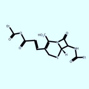 CCC(=O)NC1C(=O)N2C(C(=O)O)=C(C=CC(=O)OC(=O)CC)CS[C@@H]12